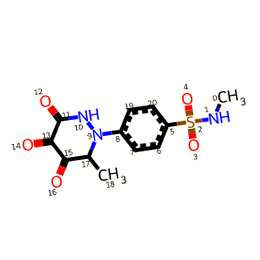 CNS(=O)(=O)c1ccc(N2NC(=O)C(=O)C(=O)C2C)cc1